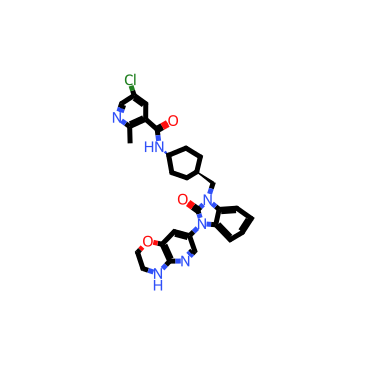 Cc1ncc(Cl)cc1C(=O)N[C@H]1CC[C@H](Cn2c(=O)n(-c3cnc4c(c3)OCCN4)c3ccccc32)CC1